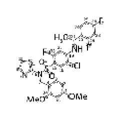 COc1ccc(CN(c2nccs2)S(=O)(=O)c2cc(Cl)c(NC(C)c3ccc(F)cc3F)cc2F)c(OC)c1